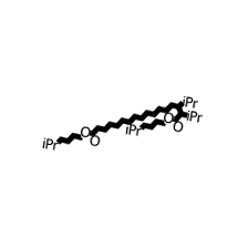 CC(C)CCCCOC(=O)CCCCCCCCCCCCCC(C(C)C)C(C(=O)OCCCCC(C)C)C(C)C